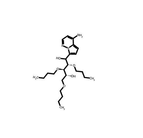 CCCCOC[C@@H](O)[C@@H](OCCCC)[C@@H](OCCCC)C(O)c1ccc2c(N)ccnn12